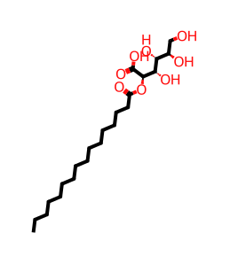 CCCCCCCCCCCCCCCC(=O)O[C@@H](C(=O)O)[C@@H](O)[C@H](O)[C@H](O)CO